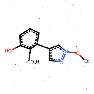 CCOn1cc(-c2cccc(O)c2C(=O)O)cn1